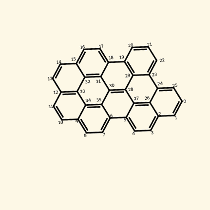 c1cc2ccc3c4ccc5ccc6ccc7ccc8c9cccc%10c(c1)c2c3c(c%109)c1c8c7c6c5c41